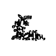 COC(C(=O)N1CC(=O)C2C1CCN2C(=O)C(CC(C)C)NC(=O)c1ccc(N2CCN(C)CC2)cc1)C(C)(C)C